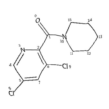 O=C(c1ncc(Cl)cc1Cl)N1CCCCC1